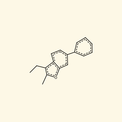 CCc1c(C)oc2cc(-c3ccccc3)ccc12